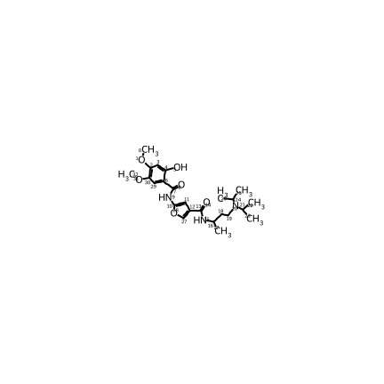 COc1cc(O)c(C(=O)Nc2cc(C(=O)NC(C)CCN(C(C)C)C(C)C)co2)cc1OC